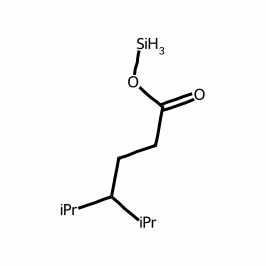 CC(C)C(CCC(=O)O[SiH3])C(C)C